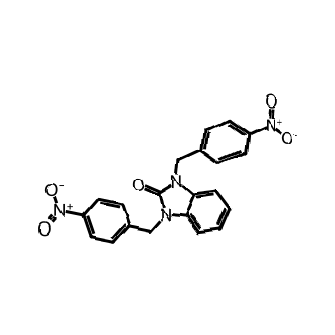 O=c1n(Cc2ccc([N+](=O)[O-])cc2)c2ccccc2n1Cc1ccc([N+](=O)[O-])cc1